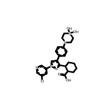 O=C(O)C1CCCCC1c1nn(-c2cncc(Cl)c2)cc1-c1ccc(N2CCS(O)(O)CC2)cc1